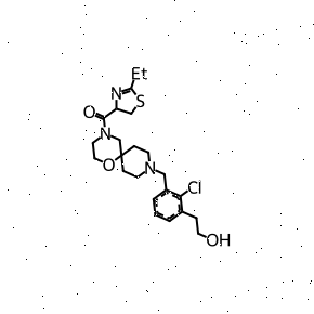 CCC1=NC(C(=O)N2CCOC3(CCN(Cc4cccc(CCO)c4Cl)CC3)C2)CS1